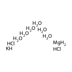 Cl.Cl.O.O.O.O.O.O.[KH].[MgH2]